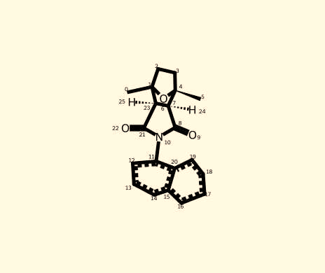 CC12CC[C@@](C)(O1)[C@H]1C(=O)N(c3cccc4ccccc34)C(=O)[C@H]12